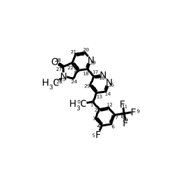 CC(c1cc(F)cc(C(F)(F)F)c1)c1cnnc(-c2nccc3c2CN(C)C3=O)c1